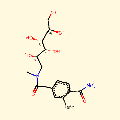 COc1cc(C(=O)N(C)C[C@H](O)[C@@H](O)[C@H](O)[C@H](O)CO)ccc1C(N)=O